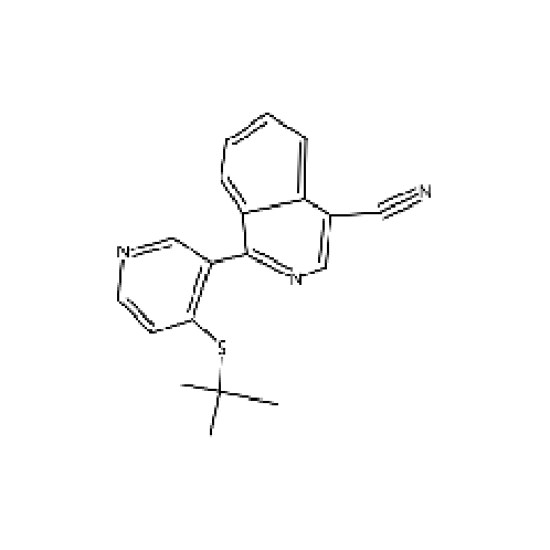 CC(C)(C)Sc1ccncc1-c1ncc(C#N)c2ccccc12